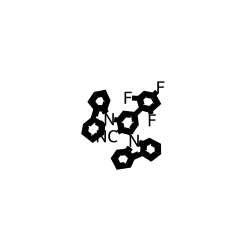 N#Cc1c(-n2c3ccccc3c3ccccc32)cc(-c2c(F)cc(F)cc2F)cc1-n1c2ccccc2c2ccccc21